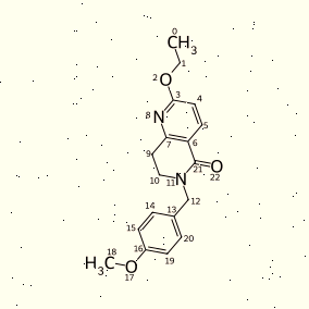 CCOc1ccc2c(n1)CCN(Cc1ccc(OC)cc1)C2=O